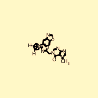 Cn1cnc2ncn(Cc3nc([C@@]45C6[C@H]4[C@H]5CN6c4ccc5scnc5c4)no3)c(=O)c21